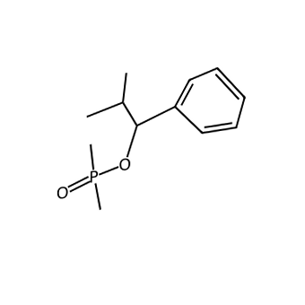 CC(C)C(OP(C)(C)=O)c1ccccc1